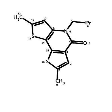 Cc1cc2c(=O)n(CC(C)C)c3cc(C)sc3c2s1